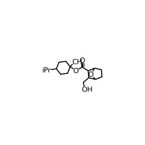 CC(C)C1CCC(C)(OC(=O)C2C3CCC(O3)C2CO)CC1